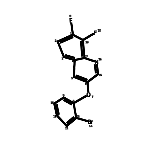 Fc1ccc2cc(Oc3ccccc3Br)cnc2c1F